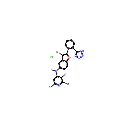 CCc1cc(N(C)c2ccc3oc(-c4ccccc4-c4nnn[nH]4)c(Br)c3c2)c(I)c(CC)n1.Cl